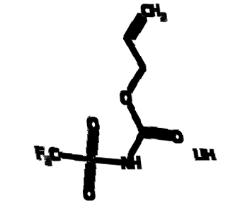 C=CCOC(=O)NS(=O)(=O)C(F)(F)F.[LiH]